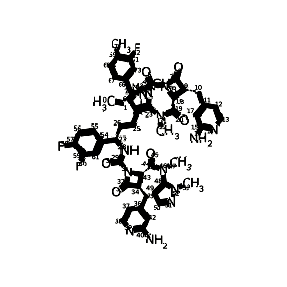 CC[C@@H](NC(=O)N1C(=O)[C@H](Cc2ccnc(N)c2)[C@H]1C(=O)N(C)c1c(CC[C@@H](NC(=O)N2C(=O)[C@H](Cc3ccnc(N)c3)[C@H]2C(=O)N(C)c2ccnn2C)c2ccc(F)c(F)c2)cnn1C)c1ccc(C)c(F)c1